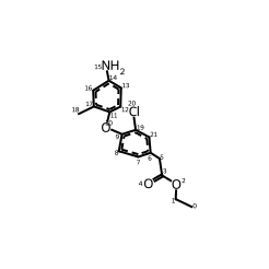 CCOC(=O)Cc1ccc(Oc2ccc(N)cc2C)c(Cl)c1